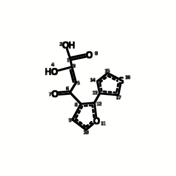 O=C(O)C(O)=CC(=O)c1ccoc1-c1ccsc1